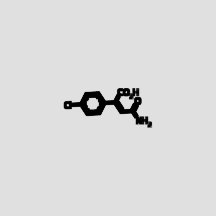 NC(=O)/C=C(\C(=O)O)c1ccc(Cl)cc1